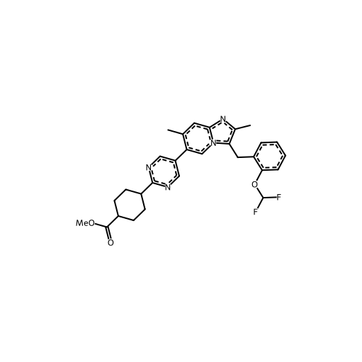 COC(=O)C1CCC(c2ncc(-c3cn4c(Cc5ccccc5OC(F)F)c(C)nc4cc3C)cn2)CC1